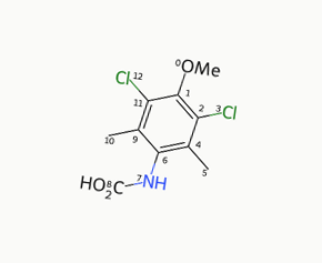 COc1c(Cl)c(C)c(NC(=O)O)c(C)c1Cl